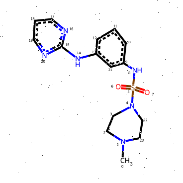 CN1CCN(S(=O)(=O)Nc2cccc(Nc3ncccn3)c2)CC1